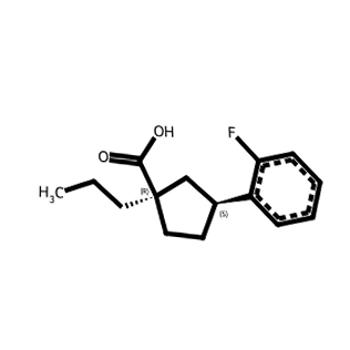 CCC[C@@]1(C(=O)O)CC[C@H](c2ccccc2F)C1